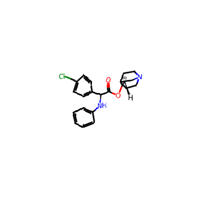 O=C(O[C@H]1CN2CCC1CC2)C(Nc1ccccc1)c1ccc(Cl)cc1